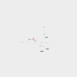 C=CCC(C)(C)C(=O)O[C@H]1C[C@H](C(C)(C)C)C=C2C=C[C@H](C)[C@](CC[C@@H]3C[C@H](C(C)(C)C)C(O[SiH](C)C)C(=O)O3)(O[SiH](C)C)[C@H]21